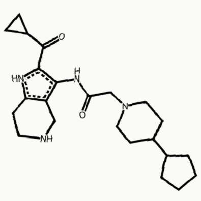 O=C(CN1CCC(C2CCCC2)CC1)Nc1c(C(=O)C2CC2)[nH]c2c1CNCC2